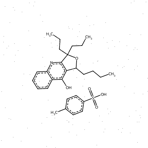 CCCCC1OC(CCC)(CCC)c2nc3ccccc3c(O)c21.Cc1ccc(S(=O)(=O)O)cc1